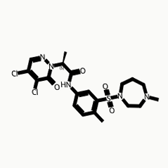 Cc1ccc(NC(=O)[C@H](C)n2ncc(Cl)c(Cl)c2=O)cc1S(=O)(=O)N1CCCN(C)CC1